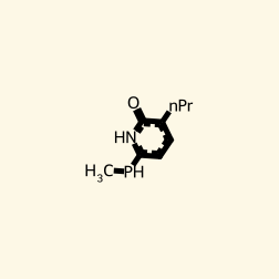 CCCc1ccc(PC)[nH]c1=O